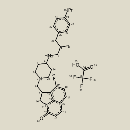 CC(CNC1CCN(CC2Cn3c(=O)ccc4ccc(F)c2c43)CC1)Cc1ccc(C(C)C)cc1.O=C(O)C(F)(F)F